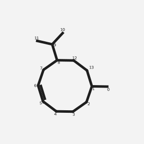 CC1CCC/[C]=C\CC(C(C)C)CC1